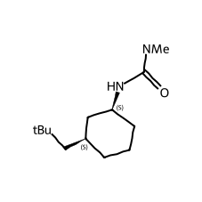 CNC(=O)N[C@H]1CCC[C@@H](CC(C)(C)C)C1